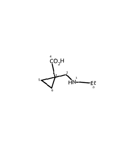 CCNCC1(C(=O)O)CC1